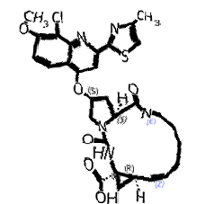 COc1ccc2c(O[C@H]3C[C@H]4C(=O)/N=C/CCC/C=C\[C@H]5C[C@@]5(C(=O)O)NC(=O)N4C3)cc(-c3nc(C)cs3)nc2c1Cl